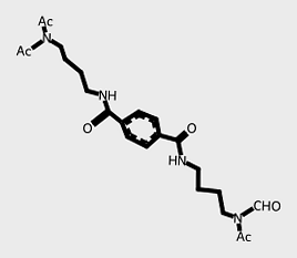 CC(=O)N(C=O)CCCCNC(=O)c1ccc(C(=O)NCCCCN(C(C)=O)C(C)=O)cc1